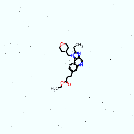 CCOC(=O)CCc1ccc2c(c1)ncc1nc(CC)n(CC3CCOCC3)c12